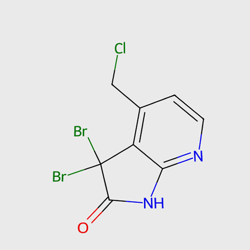 O=C1Nc2nccc(CCl)c2C1(Br)Br